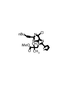 CCCCC#Cc1nc(Cl)c2nc(-c3cccs3)n(CC(C)(C)C(=O)OC)c2n1